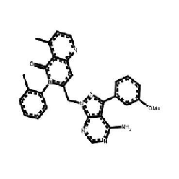 COc1cccc(-c2nn(Cc3cc4nccc(C)c4c(=O)n3-c3ccccc3C)c3ncnc(N)c23)c1